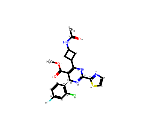 COC(=O)C1=C(C2CC(NC(C)=O)C2)NC(c2nccs2)=N[C@@H]1c1ccc(F)cc1Cl